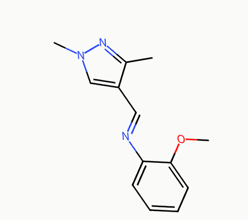 COc1ccccc1/N=C/c1cn(C)nc1C